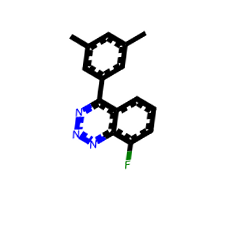 Cc1cc(C)cc(-c2nnnc3c(F)cccc23)c1